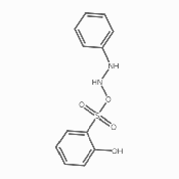 O=S(=O)(ONNc1ccccc1)c1ccccc1O